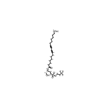 CCCCCCCCCCCCCCCCC#CC#CCCCCCCC(=O)O[C@@H](CO)COP(=O)([O-])OCC[N+](C)(C)C